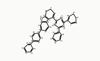 C1=CC(c2nc(C3=CCCc4oc5cc(-c6ccc(-c7ccccc7)cc6)ccc5c43)nc(-c3ccccc3)n2)=CCC1